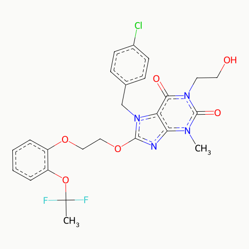 Cn1c(=O)n(CCO)c(=O)c2c1nc(OCCOc1ccccc1OC(C)(F)F)n2Cc1ccc(Cl)cc1